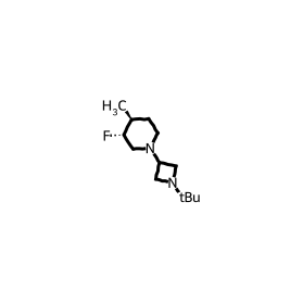 C[C@H]1CCN(C2CN(C(C)(C)C)C2)C[C@@H]1F